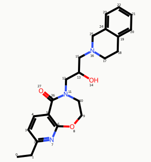 CCc1ccc2c(n1)OCCN(CC(O)CN1CCc3ccccc3C1)C2=O